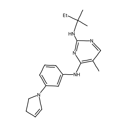 CCC(C)(C)Nc1ncc(C)c(Nc2cccc(N3C=CCC3)c2)n1